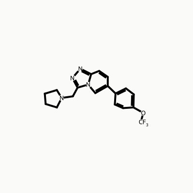 FC(F)(F)Oc1ccc(-c2ccc3nnc(CN4CCCC4)n3c2)cc1